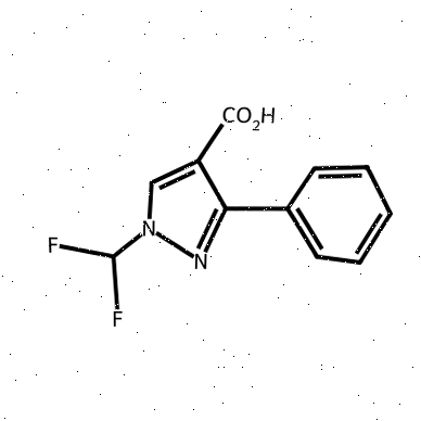 O=C(O)c1cn(C(F)F)nc1-c1ccccc1